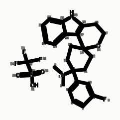 CN(C)C1(c2cccc(F)c2)CCC2(CC1)OCCc1[nH]c3ccccc3c12.O=S(=O)(O)C(F)(F)F